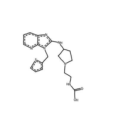 O=C(O)NCCN1CCC(Nc2nc3cccnc3n2Cc2cccs2)C1